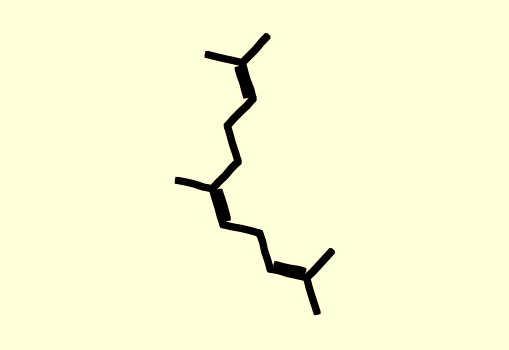 CC(C)=CCC=C(C)CCC=C(C)C